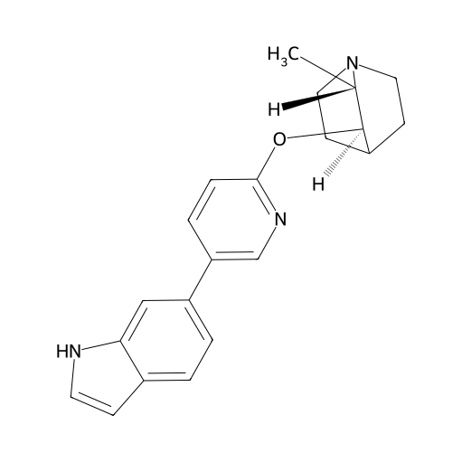 C[C@H]1[C@H](Oc2ccc(-c3ccc4cc[nH]c4c3)cn2)C2CCN1CC2